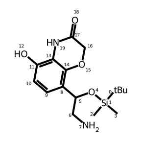 CC(C)(C)[Si](C)(C)OC(CN)c1ccc(O)c2c1OCC(=O)N2